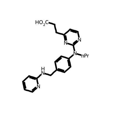 CCCN(c1ccc(CNc2ccccn2)cc1)c1nccc(CCC(=O)O)n1